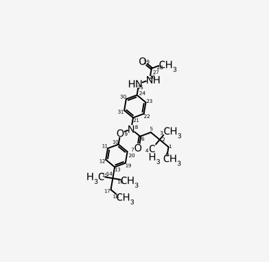 CCC(C)(C)CC(=O)N(Oc1ccc(C(C)(C)CC)cc1)c1ccc(NNC(C)=O)cc1